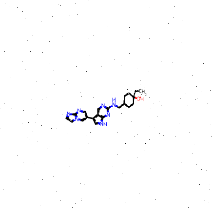 CCC1(O)CCC(CNc2ncc3c(-c4cnc5nccn5c4)c[nH]c3n2)CC1